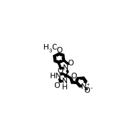 COc1ccc2c(c1)C(=O)N(C[C@@]1(c3cc4c[n+]([O-])ccc4o3)NC(=O)NC1=O)C2